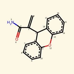 C=C(C(N)=O)C1c2ccccc2Oc2ccccc21